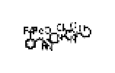 COC1CN(c2cnn(C3CCCCO3)c(=O)c2Cl)Cc2nnn(Cc3ccccc3C(F)F)c21